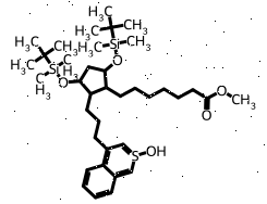 COC(=O)CCCCCCC1C(O[Si](C)(C)C(C)(C)C)CC(O[Si](C)(C)C(C)(C)C)C1CCCC1=c2ccccc2=CS(O)=C1